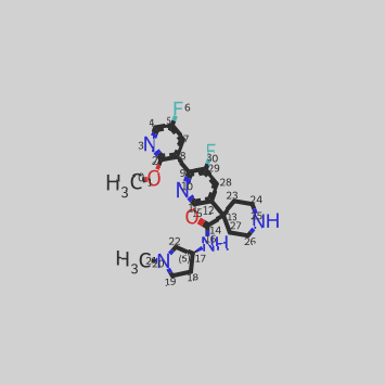 COc1ncc(F)cc1-c1ncc(C2(C(=O)N[C@H]3CCN(C)C3)CCNCC2)cc1F